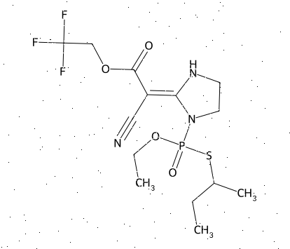 CCOP(=O)(SC(C)CC)N1CCNC1=C(C#N)C(=O)OCC(F)(F)F